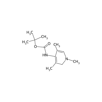 CC1=CN(C)CC(C)=C1NC(=O)OC(C)(C)C